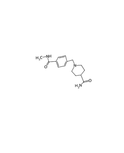 CNC(=O)c1ccc(CN2CCC(C(N)=O)CC2)cc1